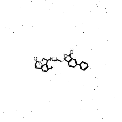 O=C1O[C@@H](CCCNC2Cn3c(=O)ccc4ccc(F)c2c43)c2ccc(-c3ccccc3)cc21